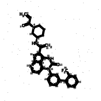 C=CC(=O)N1CCC[C@@H](NC(=C)c2sc3nccc4c3c2NC(=O)N4c2cccc(-c3ccccc3C(F)(F)F)c2)C1